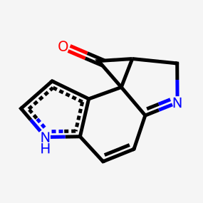 O=C1C2CN=C3C=Cc4[nH]ccc4C132